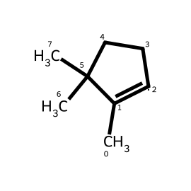 CC1=[C]CCC1(C)C